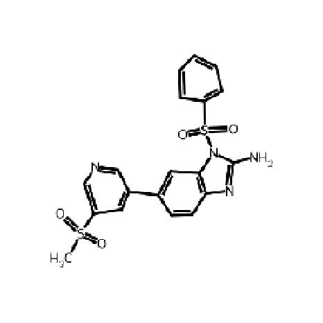 CS(=O)(=O)c1cncc(-c2ccc3nc(N)n(S(=O)(=O)c4ccccc4)c3c2)c1